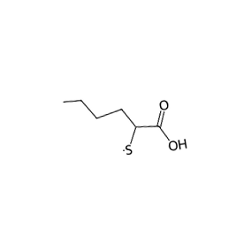 CCCCC([S])C(=O)O